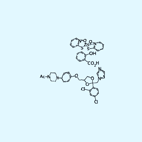 CC(=O)N1CCN(c2ccc(OCC3COC(Cn4ccnc4)(c4ccc(Cl)cc4Cl)O3)cc2)CC1.O=C(O)c1ccccc1O.c1cc[n+]2c(c1)[S][Zn-2]1([O]2)[O][n+]2ccccc2[S]1